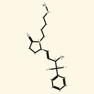 N#COCCCCN1C(=O)CC[C@@H]1C=CC(O)C(F)(F)c1ccccc1